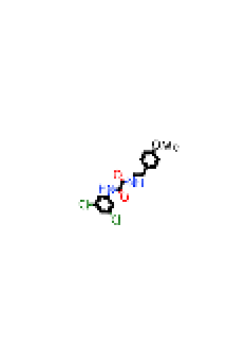 COc1ccc(CCNC(=O)C(=O)Nc2cc(Cl)cc(Cl)c2)cc1